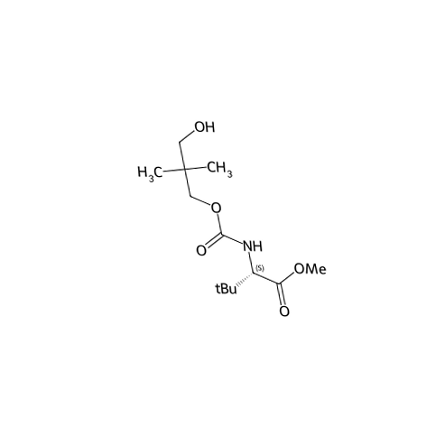 COC(=O)[C@@H](NC(=O)OCC(C)(C)CO)C(C)(C)C